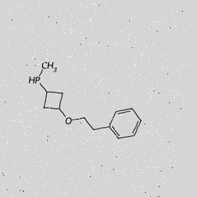 CPC1CC(OCCc2ccccc2)C1